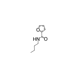 CCCCNC(=O)c1ccco1